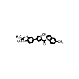 Cc1ccc2c(ccn2C(=O)c2cc(-c3ccc(NC(C)(C)C)cc3)cn2C)c1